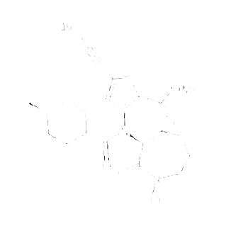 COC(=O)c1sc(C#CC(C)(C)C)cc1N(C(=O)[C@H]1CC[C@H](C)CC1)[C@H]1CCCCN(C(C)C)C1=O